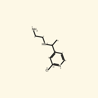 CC(NCCN)c1ccnc(Cl)c1